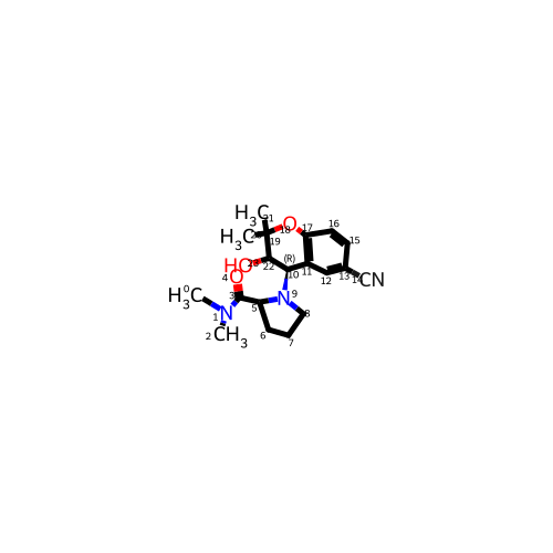 CN(C)C(=O)C1CCCN1[C@@H]1c2cc(C#N)ccc2OC(C)(C)C1O